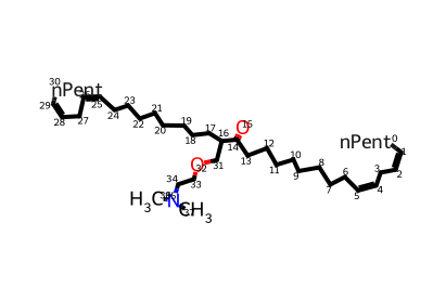 CCCCC/C=C\C/C=C\CCCCCCCCC(=O)C(CCCCCCCC/C=C\C/C=C\CCCCC)COCCN(C)C